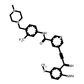 CNc1ccc(SC(F)(F)F)cc1C(=N)C#Cc1cncc(C(=O)Nc2ccc(CN3CCN(C)CC3)c(C(F)(F)F)c2)c1